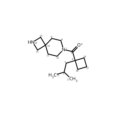 CC(C)CC1(C(=O)N2CCC3(CC2)CNC3)CCC1